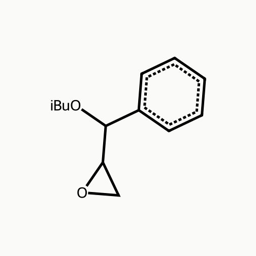 CC(C)COC(c1ccccc1)C1CO1